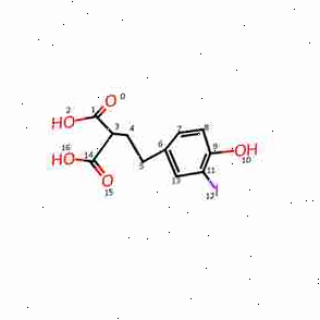 O=C(O)C(CCc1ccc(O)c(I)c1)C(=O)O